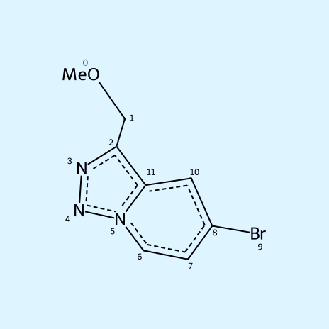 COCc1nnn2ccc(Br)cc12